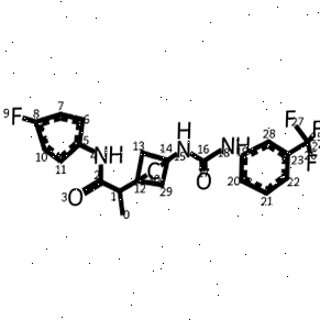 CC(C(=O)Nc1ccc(F)cc1)C12CC(NC(=O)Nc3cccc(C(F)(F)F)c3)(C1)C2